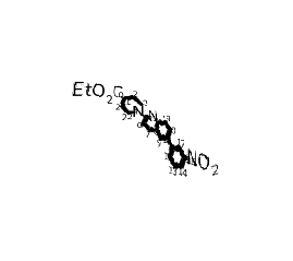 CCOC(=O)C1CCN(c2ccc3cc(-c4cccc([N+](=O)[O-])c4)ccc3n2)CC1